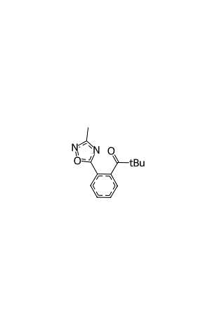 Cc1noc(-c2ccccc2C(=O)C(C)(C)C)n1